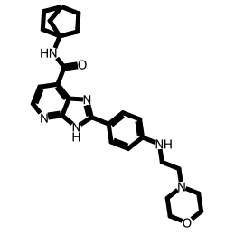 O=C(NC12CCC(CC1)C2)c1ccnc2[nH]c(-c3ccc(NCCN4CCOCC4)cc3)nc12